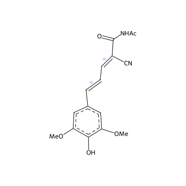 COc1cc(/C=C/C=C(\C#N)C(=O)NC(C)=O)cc(OC)c1O